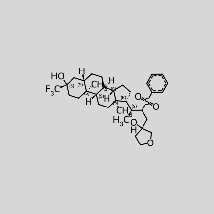 C[C@H](C(CC1(O)CCOC1)S(=O)(=O)c1ccccc1)[C@H]1CC[C@H]2[C@@H]3CC[C@H]4C[C@](O)(C(F)(F)F)CC[C@]4(C)[C@H]3CC[C@]12C